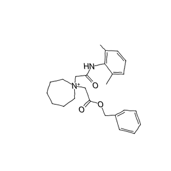 Cc1cccc(C)c1NC(=O)C[N+]1(CC(=O)OCc2ccccc2)CCCCCC1